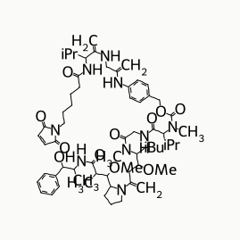 C=C(CNC(=C)C(NC(=O)CCCCCN1C(=O)C=CC1=O)C(C)C)Nc1ccc(COC(=O)N(C)C(C(=O)NCC(=O)N(C)C(C(C)CC)C(CC(=C)N2CCCC2C(OC)C(C)C(=O)NC(C)C(O)c2ccccc2)OC)C(C)C)cc1